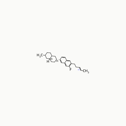 C/C=C/CCc1cc2ccc([C@@H]3CC[C@@H]4CC(C)CCC4C3)cc2cc1F